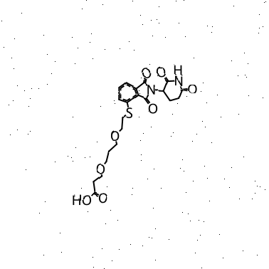 O=C(O)CCOCCCOCCSc1cccc2c1C(=O)N(C1CCC(=O)NC1=O)C2=O